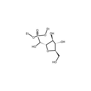 CCOP(=O)(OCC)C(O)[C@H]1O[C@H](CO)[C@@H](O)[C@@H]1O